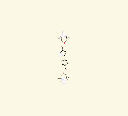 CC1(C)CC(OC(=O)c2ccc(-c3ccc(C(=O)OC4CC(C)(C)NC(C)(C)C4)cn3)cc2)CC(C)(C)N1